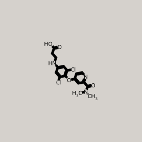 CN(C)C(=O)c1cc(Oc2c(Cl)cc(NCCC(=O)O)cc2Cl)ccn1